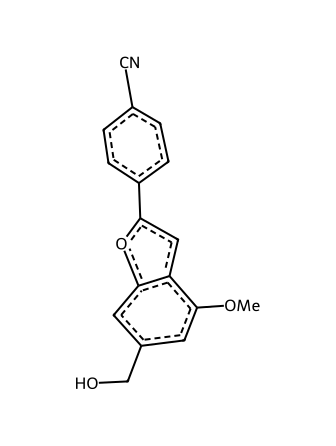 COc1cc(CO)cc2oc(-c3ccc(C#N)cc3)cc12